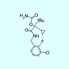 CC(C)(C)C(OC(N)=O)(C(=O)NCc1cccc(Cl)c1F)C1CC1